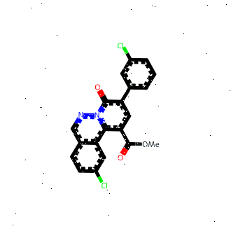 COC(=O)c1cc(-c2cccc(Cl)c2)c(=O)n2ncc3ccc(Cl)cc3c12